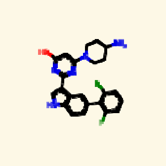 NC1CCN(c2cc(O)nc(-c3c[nH]c4ccc(-c5c(F)cccc5F)cc34)n2)CC1